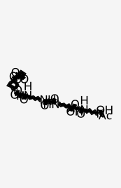 CC(=O)N(O)CCCCCNC(=O)CCC(=O)N(O)CCCCCNC(=O)CCC(=O)NCCCCCNC(=O)CN(C)C(=O)O[C@@H]1/C=C/CC[C@](C)(C(=O)ON2C(=O)CCC2=O)CC1